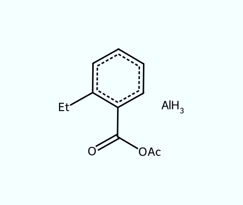 CCc1ccccc1C(=O)OC(C)=O.[AlH3]